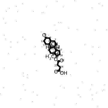 C[C@]12CC[C@H]3[C@@H](CCC4CC(=O)CC[C@@]43C)[C@@H]1CC[C@@H]2OC(=O)CCC(=O)O